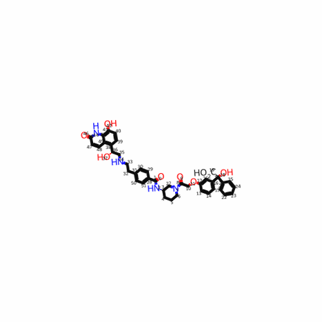 O=C(N[C@H]1CCCN(C(=O)COc2cccc([C@](O)(C(=O)O)c3ccccc3)c2)C1)c1ccc(CCNC[C@H](O)c2ccc(O)c3[nH]c(=O)ccc23)cc1